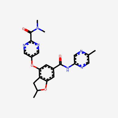 Cc1cnc(NC(=O)c2cc(Oc3cnc(C(=O)N(C)C)nc3)c3c(c2)OC(C)C3)cn1